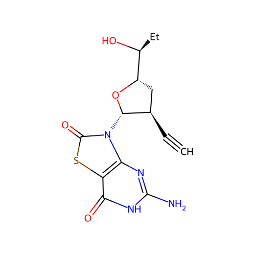 C#C[C@@H]1C[C@@H]([C@@H](O)CC)O[C@H]1n1c(=O)sc2c(=O)[nH]c(N)nc21